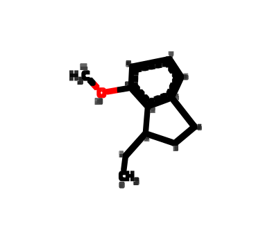 CCC1CCc2cccc(OC)c21